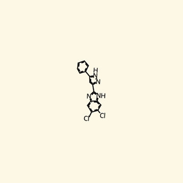 Clc1cc2nc(-c3cc(-c4ccccc4)[nH]n3)[nH]c2cc1Cl